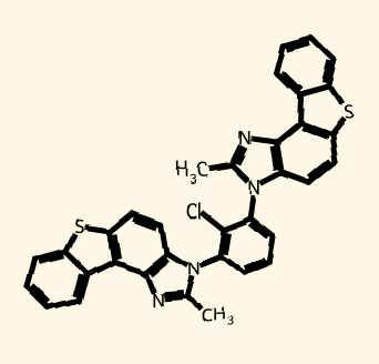 Cc1nc2c3c(ccc2n1-c1cccc(-n2c(C)nc4c5c(ccc42)sc2ccccc25)c1Cl)sc1ccccc13